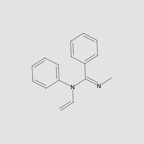 C=CN(/C(=N/C)c1ccccc1)c1ccccc1